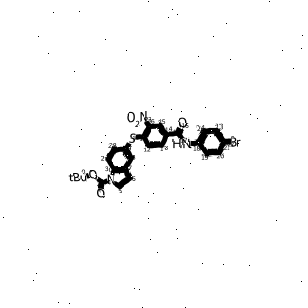 CC(C)(C)OC(=O)n1ccc2cc(Sc3ccc(C(=O)Nc4ccc(Br)cc4)cc3[N+](=O)[O-])ccc21